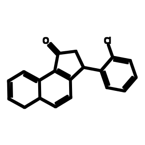 O=C1CC(c2ccccc2Cl)C2=C1C1=CC=CCC1C=C2